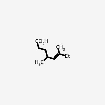 CCC(C)=CC(C)CCC(=O)O